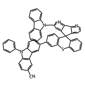 N#Cc1ccc2c(c1)c1cc(-c3ccc4c(c3)Sc3ccccc3C43c4cccnc4-c4ncc(-n5c6ccccc6c6ccccc65)cc43)ccc1n2-c1ccccc1